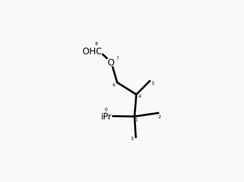 CC(C)C(C)(C)C(C)COC=O